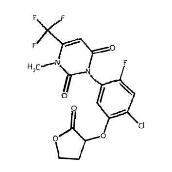 Cn1c(C(F)(F)F)cc(=O)n(-c2cc(OC3CCOC3=O)c(Cl)cc2F)c1=O